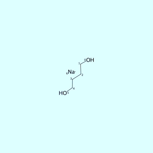 OCCCCO.[Na]